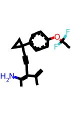 C=C(C)/C(C#CC1(c2ccc(OC(C)(F)F)cc2)CC1)=C(\C)N